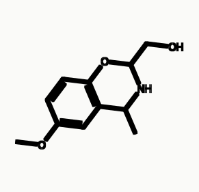 COc1ccc2c(c1)C(C)NC(CO)O2